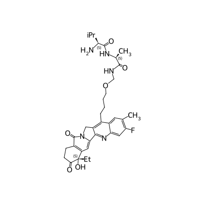 CC[C@@]1(O)C(=O)CCc2c1cc1n(c2=O)Cc2c-1nc1cc(F)c(C)cc1c2CCCCOCNC(=O)[C@H](C)NC(=O)[C@@H](N)C(C)C